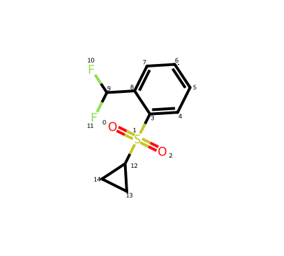 O=S(=O)(c1cc[c]cc1C(F)F)C1CC1